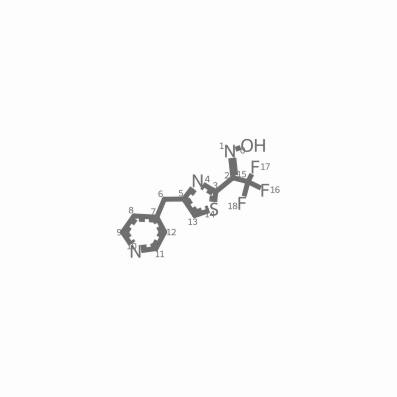 ON=C(c1nc(Cc2ccncc2)cs1)C(F)(F)F